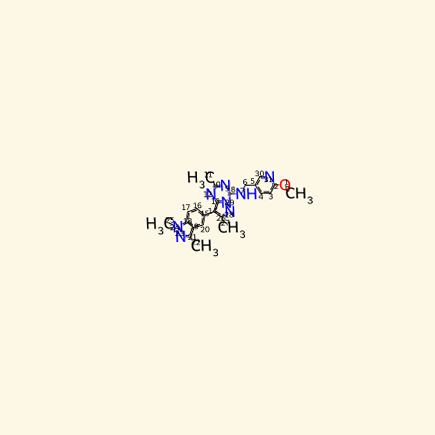 COc1ccc(CNc2nc(C)nc3c(-c4ccc5c(c4)c(C)nn5C)c(C)nn23)cn1